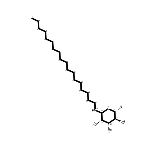 CCCCCCCCCCCCCCCCCCNC1O[C@H](C)[C@@H](O)[C@H](O)[C@@H]1O